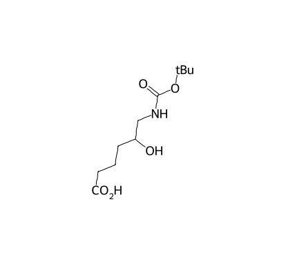 CC(C)(C)OC(=O)NCC(O)CCCC(=O)O